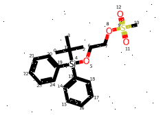 CC(C)(C)[Si](OCCOS(C)(=O)=O)(c1ccccc1)c1ccccc1